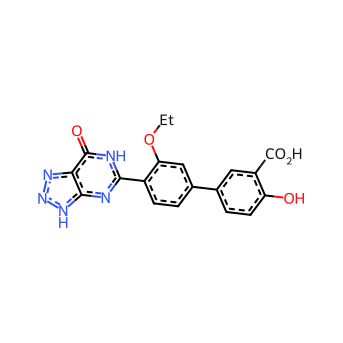 CCOc1cc(-c2ccc(O)c(C(=O)O)c2)ccc1-c1nc2[nH]nnc2c(=O)[nH]1